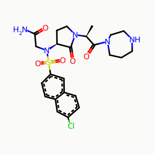 C[C@@H](C(=O)N1CCCNCC1)N1CC[C@H](N(CC(N)=O)S(=O)(=O)c2ccc3cc(Cl)ccc3c2)C1=O